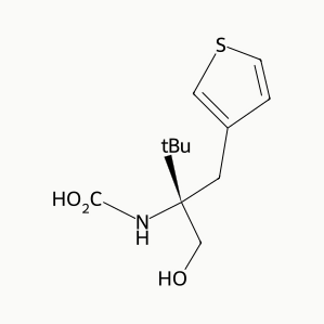 CC(C)(C)[C@](CO)(Cc1ccsc1)NC(=O)O